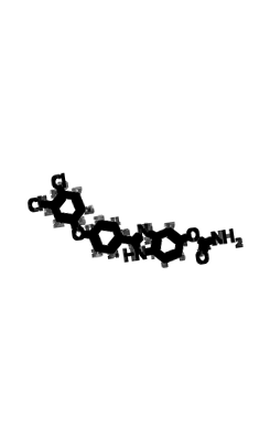 NC(=O)Oc1ccc2[nH]c(-c3ccc(Oc4ccc(Cl)c(Cl)c4)cc3)nc2c1